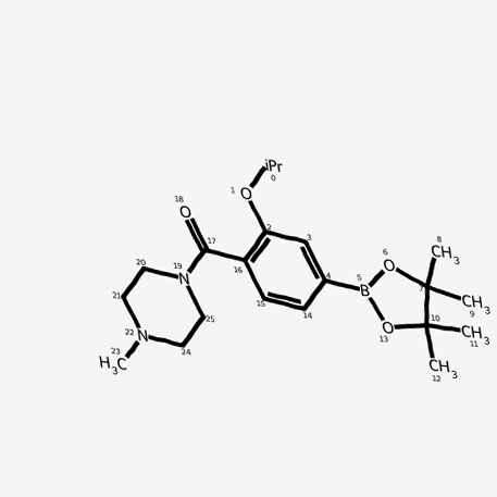 CC(C)Oc1cc(B2OC(C)(C)C(C)(C)O2)ccc1C(=O)N1CCN(C)CC1